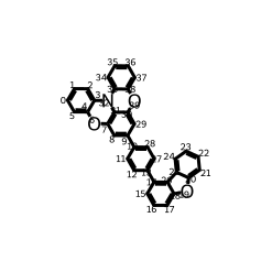 c1ccc2c(c1)Oc1cc(-c3ccc(-c4cccc5oc6ccccc6c45)cc3)cc3c1N2c1ccccc1O3